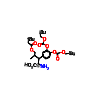 CCC(C)COC(=O)Oc1ccc(C(C(C)COC(=O)CC(C)(C)C)[C@H](N)C(=O)O)cc1OC(=O)OCC(C)CC